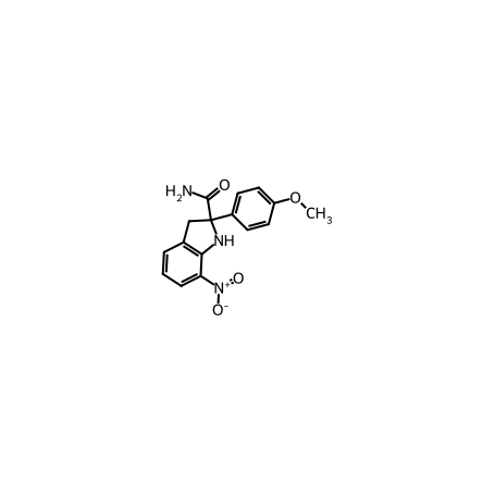 COc1ccc(C2(C(N)=O)Cc3cccc([N+](=O)[O-])c3N2)cc1